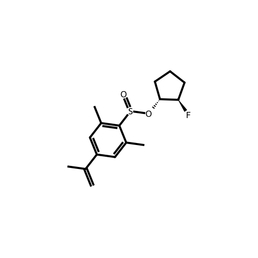 C=C(C)c1cc(C)c(S(=O)O[C@@H]2CCC[C@H]2F)c(C)c1